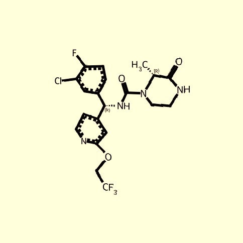 C[C@@H]1C(=O)NCCN1C(=O)N[C@H](c1ccnc(OCC(F)(F)F)c1)c1ccc(F)c(Cl)c1